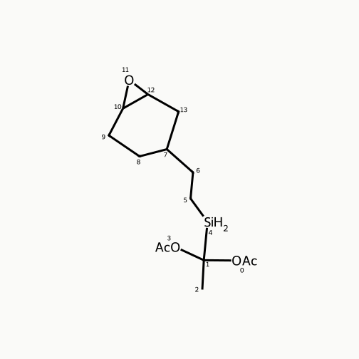 CC(=O)OC(C)(OC(C)=O)[SiH2]CCC1CCC2OC2C1